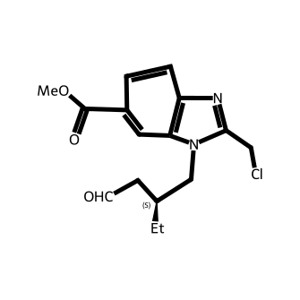 CC[C@@H](CC=O)Cn1c(CCl)nc2ccc(C(=O)OC)cc21